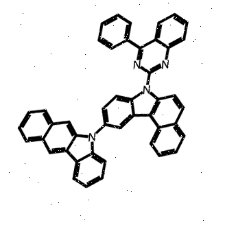 c1ccc(-c2nc(-n3c4ccc(-n5c6ccccc6c6cc7ccccc7cc65)cc4c4c5ccccc5ccc43)nc3ccccc23)cc1